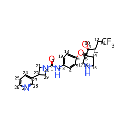 O=C(Nc1ccc(O[C@]2(C(=O)CCC(F)(F)F)CCNC2)cc1)N1CC(c2cccnc2)C1